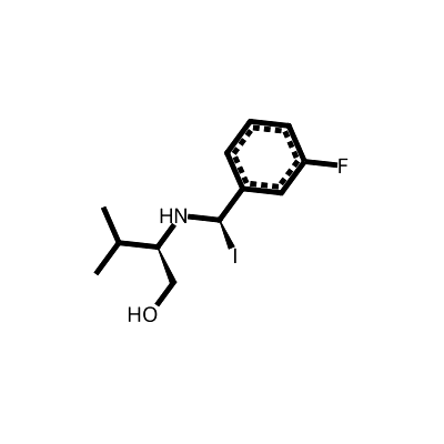 CC(C)[C@H](CO)N[C@H](I)c1cccc(F)c1